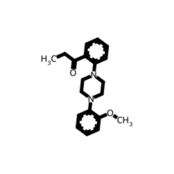 CCC(=O)c1ccccc1N1CCN(c2ccccc2OC)CC1